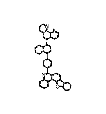 c1cnc2c(c1)cc(-c1ccc(-c3ccc(-c4nc5ccccc5c5c4ccc4c6ccccc6oc45)cc3)c3ccccc13)c1cccnc12